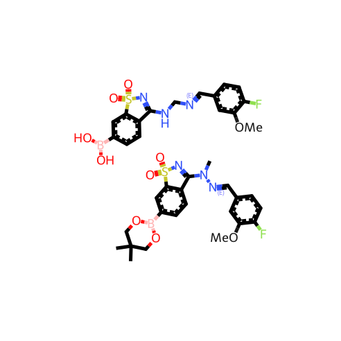 COc1cc(/C=N/CNC2=NS(=O)(=O)c3cc(B(O)O)ccc32)ccc1F.COc1cc(/C=N/N(C)C2=NS(=O)(=O)c3cc(B4OCC(C)(C)CO4)ccc32)ccc1F